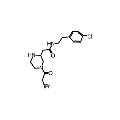 CC(C)CC(=O)N1CCNC(CC(=O)NCCc2ccc(Cl)cc2)C1